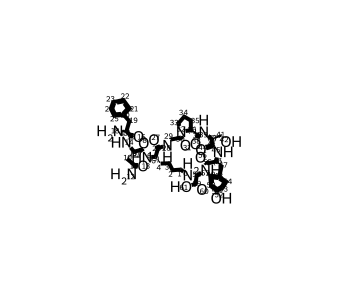 NCCCC[C@H](NC(=O)[C@H](CC(N)=O)NC(=O)[C@@H](N)Cc1ccccc1)C(=O)NCC(=O)N1CCC[C@H]1C(=O)N[C@@H](CO)C(=O)N[C@@H](Cc1ccc(O)cc1)C(=O)NCC(=O)O